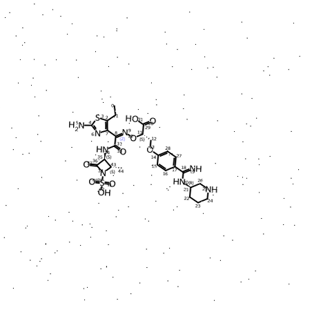 CCc1sc(N)nc1/C(=N/O[C@@H](COc1ccc(C(=N)N[C@@H]2CCCNC2)cc1)C(=O)O)C(=O)N[C@@H]1C(=O)N(S(=O)(=O)O)[C@H]1C